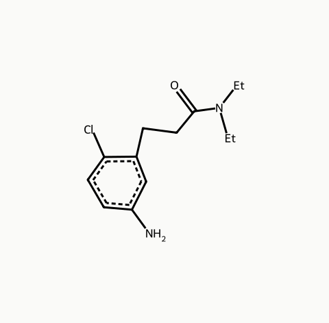 CCN(CC)C(=O)CCc1cc(N)ccc1Cl